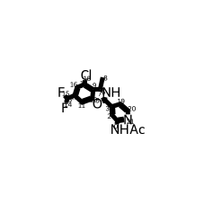 CC(=O)Nc1cc(C(=O)NC(C)c2ccc(C(F)F)cc2Cl)ccn1